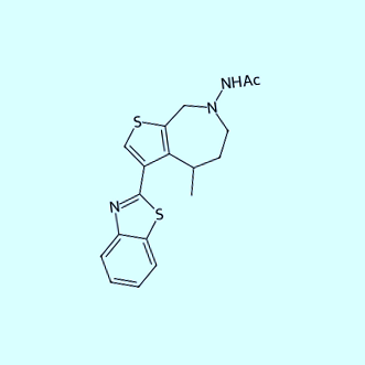 CC(=O)NN1CCC(C)c2c(-c3nc4ccccc4s3)csc2C1